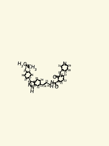 CN(C)Cc1ccc(-c2n[nH]c3cc(/C=C/CNC(=O)c4cccn(Cc5cccnc5)c4=O)ccc23)cc1